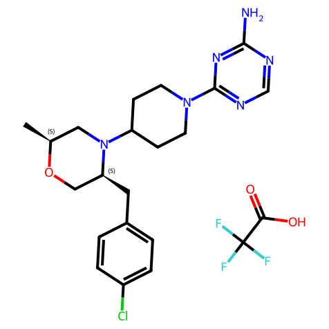 C[C@H]1CN(C2CCN(c3ncnc(N)n3)CC2)[C@@H](Cc2ccc(Cl)cc2)CO1.O=C(O)C(F)(F)F